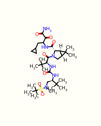 CN(C[C@@H](NC(=O)N[C@H](C(=O)N1C[C@H]2[C@@H]([C@H]1C(=O)NC(CC1CC1)C(=O)C(N)=O)C2(C)C)C(C)(C)C)C(C)(C)C)S(=O)(=O)C(C)(C)C